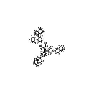 c1ccc(-c2cc(-c3ccc(N(c4ccc(-c5ccc6ccccc6c5)cc4)c4ccc(-c5ccc6ccccc6c5)cc4)cc3)ccc2-c2cccc3ccccc23)cc1